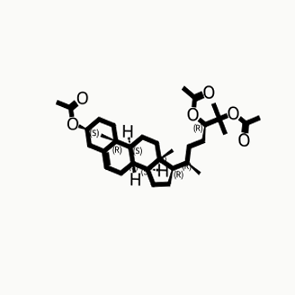 CC(=O)O[C@H]1CC[C@@]2(C)C(=CC[C@H]3[C@@H]4CC[C@H]([C@H](C)CC[C@@H](OC(C)=O)C(C)(C)OC(C)=O)[C@@]4(C)CC[C@@H]32)C1